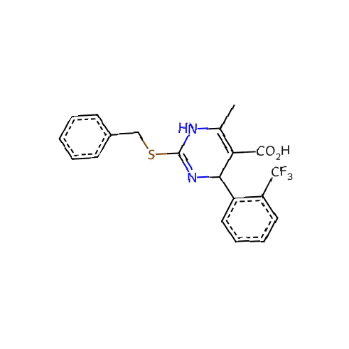 CC1=C(C(=O)O)C(c2ccccc2C(F)(F)F)N=C(SCc2ccccc2)N1